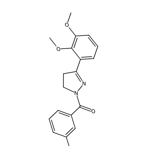 COc1cccc(C2=NN(C(=O)c3cccc(F)c3)CC2)c1OC